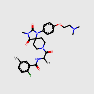 CC(C)C(NC(=O)c1cc(C(F)(F)F)ccc1F)C(=O)N1CCC2(CC1)C(=O)N(C)C(=O)N2c1ccc(OCCN(C)C)cc1